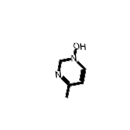 CC1=NCN(O)C=C1